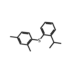 Cc1ccc(Sc2ccccc2C(C)C)c(C)c1